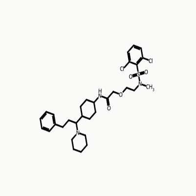 CN(CCOCC(=O)NC1CCC(C(CCc2ccccc2)N2CCCCC2)CC1)S(=O)(=O)c1c(Cl)cccc1Cl